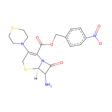 NC1C(=O)N2C(C(=O)OCc3ccc([N+](=O)[O-])cc3)=C(N3CCSCC3)CS[C@H]12